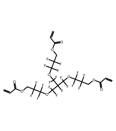 C=CC(=O)OCC(F)(F)C(F)(F)OC(F)(F)C(F)(C(F)(F)OC(F)(F)C(F)(F)COC(=O)C=C)C(F)(F)OC(F)(F)C(F)(F)COC(=O)C=C